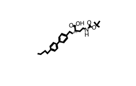 CCCCc1ccc(-c2ccc(CC[C@@H](CCNC(=O)OC(C)(C)C)C(=O)O)cc2)cc1